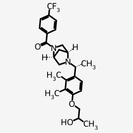 Cc1c(OCC(C)O)ccc([C@@H](C)N2C[C@@H]3C[C@H]2CN3C(=O)c2ccc(C(F)(F)F)cc2)c1C